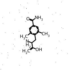 C=C(O)C(N)Cc1c(C)cc(C(N)=O)cc1C